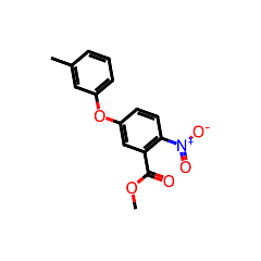 COC(=O)c1cc(Oc2cccc(C)c2)ccc1[N+](=O)[O-]